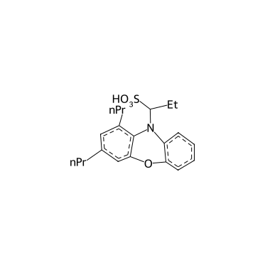 CCCc1cc(CCC)c2c(c1)Oc1ccccc1N2C(CC)S(=O)(=O)O